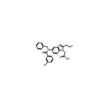 CCCc1nc2cc(N(Cc3ccccc3)C(=O)c3cccc(Cl)c3)ccc2n1CC(=O)O